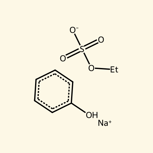 CCOS(=O)(=O)[O-].Oc1ccccc1.[Na+]